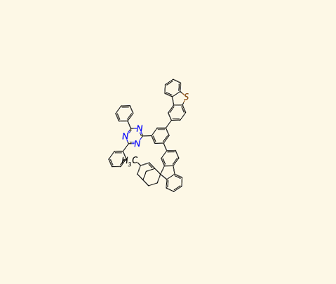 CC1C=C2CC(CCC23c2ccccc2-c2ccc(-c4cc(-c5ccc6sc7ccccc7c6c5)cc(-c5nc(-c6ccccc6)nc(-c6ccccc6)n5)c4)cc23)C1